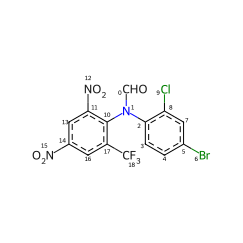 O=CN(c1ccc(Br)cc1Cl)c1c([N+](=O)[O-])cc([N+](=O)[O-])cc1C(F)(F)F